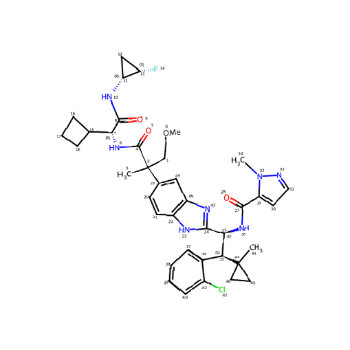 COCC(C)(C(=O)N[C@@H](C(=O)N[C@@H]1C[C@@H]1F)C1CCC1)c1ccc2[nH]c([C@@H](NC(=O)c3ccnn3C)[C@H](c3ccccc3Cl)C3(C)CC3)nc2c1